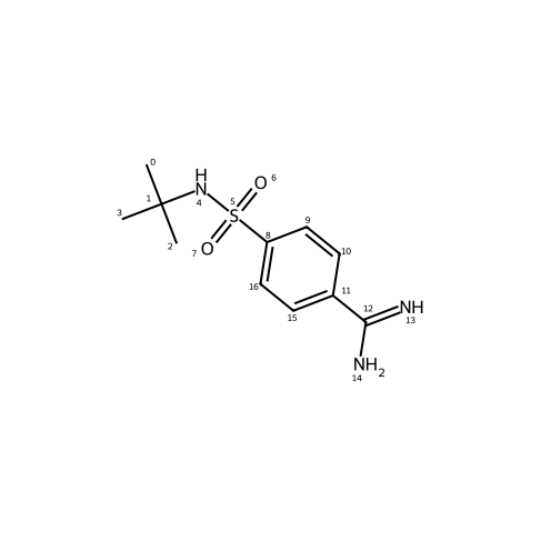 CC(C)(C)NS(=O)(=O)c1ccc(C(=N)N)cc1